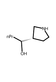 CCCC(O)[C@H]1CCNC1